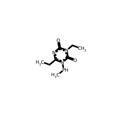 CCc1nc(=O)n(CC)c(=O)n1PC